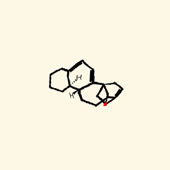 C[C@@]12CC[C@H]3C(=CC=C4CCCC[C@@H]43)[C@]13CC=C2CC3